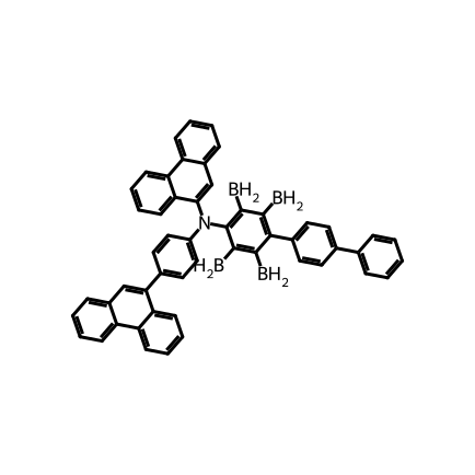 Bc1c(B)c(N(c2ccc(-c3cc4ccccc4c4ccccc34)cc2)c2cc3ccccc3c3ccccc23)c(B)c(B)c1-c1ccc(-c2ccccc2)cc1